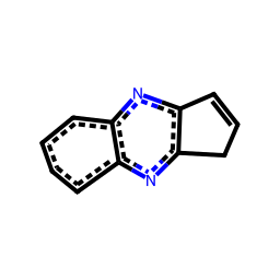 C1=Cc2nc3ccccc3nc2C1